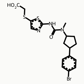 CN(C(=O)Nc1ncc(SCC(=O)O)s1)C1CCC(c2ccc(Br)cc2)C1